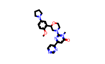 COc1ccc(N2CCCC2)cc1C1CN(c2nc(-c3ccncn3)cc(=O)n2C)CCO1